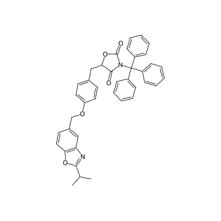 CC(C)c1nc2cc(COc3ccc(CC4OC(=O)N(C(c5ccccc5)(c5ccccc5)c5ccccc5)C4=O)cc3)ccc2o1